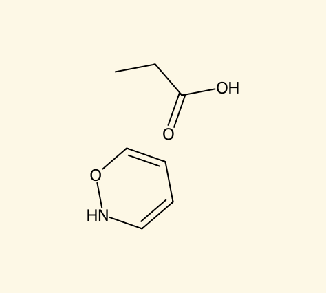 C1=CNOC=C1.CCC(=O)O